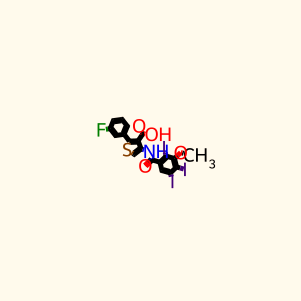 COc1c(I)c(I)cc(C(=O)Nc2csc(-c3cccc(F)c3)c2C(=O)O)c1I